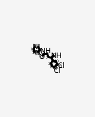 N=C(CCC(=O)Nc1cnccn1)c1ccc(Cl)c(Cl)c1